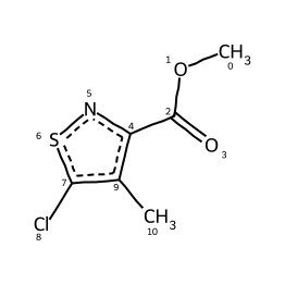 COC(=O)c1nsc(Cl)c1C